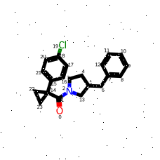 O=C(N1CCC(Cc2ccccc2)C1)C1(c2ccc(Cl)cc2)CC1